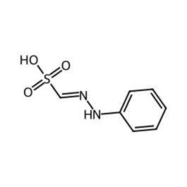 O=S(=O)(O)C=NNc1ccccc1